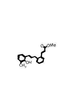 COC(=O)C=Cc1ccccc1CC=Cc1cccc(C)c1O